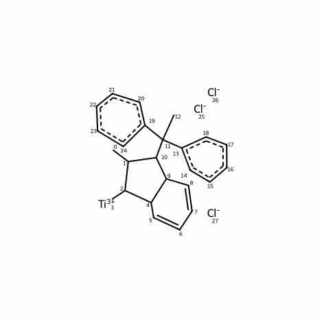 CC1[CH]([Ti+3])C2C=CC=CC2C1C(C)(c1ccccc1)c1ccccc1.[Cl-].[Cl-].[Cl-]